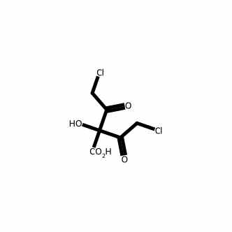 O=C(O)C(O)(C(=O)CCl)C(=O)CCl